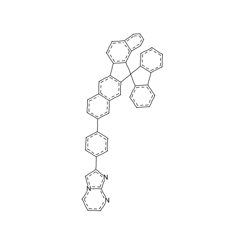 c1ccc2c(c1)-c1ccccc1C21c2cc3cc(-c4ccc(-c5cn6cccnc6n5)cc4)ccc3cc2-c2ccc3ccccc3c21